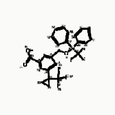 CC(C)(C)[Si](OCc1cc(C(=O)O)cc(C2(C(F)(F)F)CC2)c1)(c1ccccc1)c1ccccc1